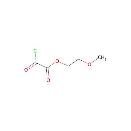 COCCOC(=O)C(=O)Cl